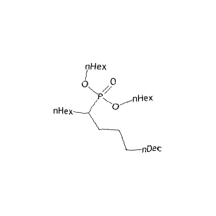 CCCCCCCCCCCCCC(CCCCCC)P(=O)(OCCCCCC)OCCCCCC